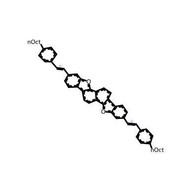 CCCCCCCCc1ccc(/C=C/c2ccc3c(c2)oc2c3ccc3c2ccc2c4ccc(/C=C/c5ccc(CCCCCCCC)cc5)cc4oc23)cc1